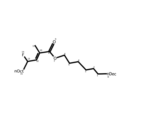 CCCCCCCCCCCCCCCCOC(=O)C(C)=CC(F)CCCCCCCC